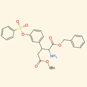 CC(C)(C)OC(=O)CC(c1cccc(OS(=O)(=O)c2ccccc2)c1)C(N)C(=O)OCc1ccccc1